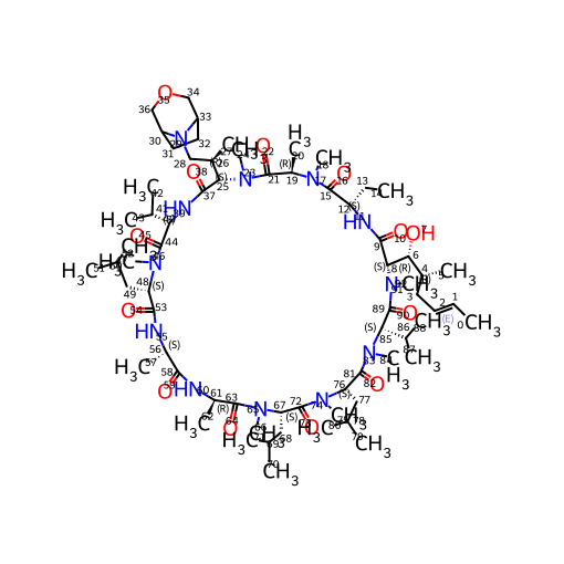 C/C=C/C[C@@H](C)[C@@H](O)[C@H]1C(=O)N[C@@H](CC)C(=O)N(C)[C@H](C)C(=O)N(C)[C@@H]([C@H](C)CN2C3CCC2COC3)C(=O)N[C@@H](C(C)C)C(=O)N(C)[C@@H](CC(C)C)C(=O)N[C@@H](C)C(=O)N[C@H](C)C(=O)N(C)[C@@H](CC(C)C)C(=O)N(C)[C@@H](CC(C)C)C(=O)N(C)[C@@H](C(C)C)C(=O)N1C